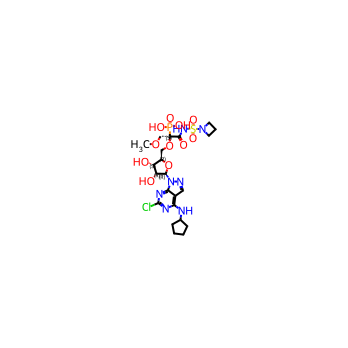 COC[C@@](OC[C@H]1O[C@@H](n2ncc3c(NC4CCCC4)nc(Cl)nc32)[C@H](O)[C@@H]1O)(C(=O)NS(=O)(=O)N1CCC1)P(=O)(O)O